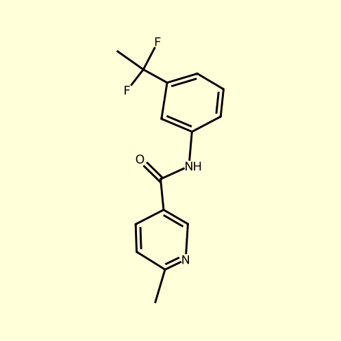 Cc1ccc(C(=O)Nc2cccc(C(C)(F)F)c2)cn1